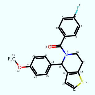 O=C(c1ccc(F)cc1)N1CCc2sccc2C1c1ccc(OC(F)(F)F)cc1